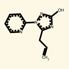 C=CCc1nc(O)nn1-c1ccccn1